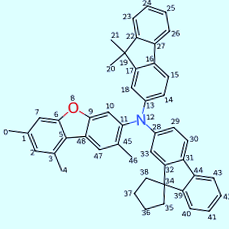 Cc1cc(C)c2c(c1)oc1cc(N(c3ccc4c(c3)C(C)(C)c3ccccc3-4)c3ccc4c(c3)C3(CCCC3)c3ccccc3-4)c(C)cc12